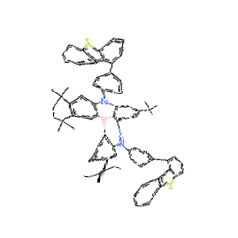 CC(C)(C)c1ccc2c(c1)N(c1ccc(-c3cccc4sc5ccccc5c34)cc1)c1cc(C(C)(C)C)cc3c1B2c1cc2c(cc1N3c1ccc(-c3cccc4sc5ccccc5c34)cc1)C(C)(C)CCC2(C)C